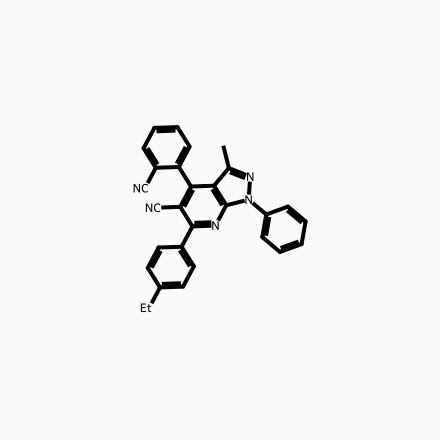 CCc1ccc(-c2nc3c(c(C)nn3-c3ccccc3)c(-c3ccccc3C#N)c2C#N)cc1